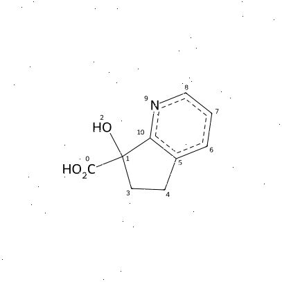 O=C(O)C1(O)CCc2cccnc21